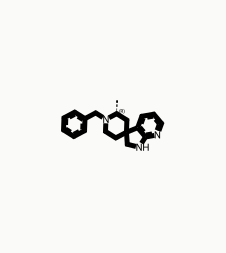 C[C@@H]1CC2(CCN1Cc1ccccc1)CNc1ncccc12